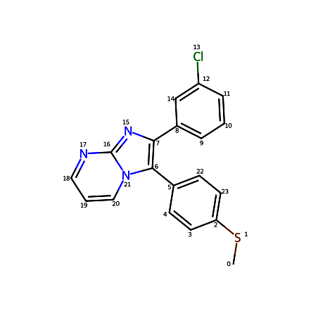 CSc1ccc(-c2c(-c3cccc(Cl)c3)nc3ncccn23)cc1